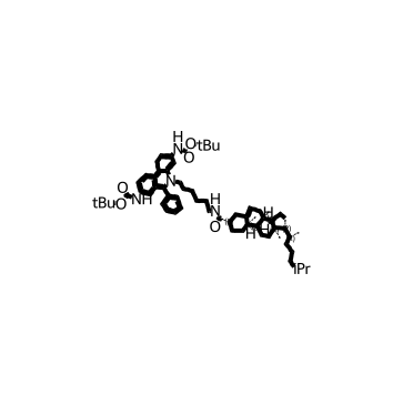 CC(C)CCC[C@@H](C)[C@H]1CC[C@H]2[C@@H]3CC=C4C[C@@H](C(=O)NCCCCCCN5C6=CC(NC(=O)OC(C)(C)C)=CCC6=c6ccc(NC(=O)OC(C)(C)C)cc6=C5c5ccccc5)CC[C@]4(C)[C@H]3CC[C@]12C